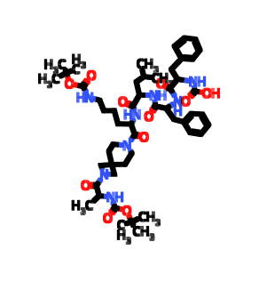 CC(C)CC(NC(=O)C(Cc1ccccc1)NC(=O)C(Cc1ccccc1)NC(=O)O)C(=O)NC(CCCCNC(=O)OC(C)(C)C)C(=O)N1CCC2(CC1)CN(C(=O)C(C)NC(=O)OC(C)(C)C)C2